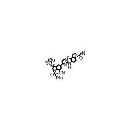 CN(C)CC(=O)N1CCc2c1ccc(Nc1nccc(-c3cc(C#N)c4c(c3)C(C)(CO[Si](C)(C)C(C)(C)C)CN4C(=O)OC(C)(C)C)n1)c2F